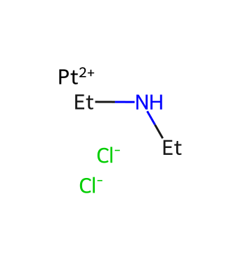 CCNCC.[Cl-].[Cl-].[Pt+2]